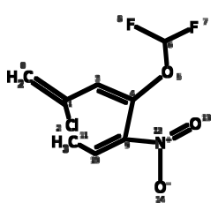 C=C(Cl)/C=C(OC(F)F)\C(=C/C)[N+](=O)[O-]